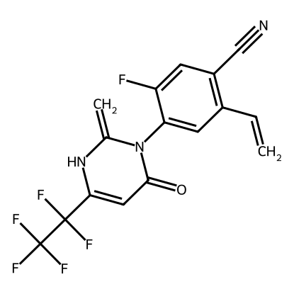 C=Cc1cc(N2C(=C)NC(C(F)(F)C(F)(F)F)=CC2=O)c(F)cc1C#N